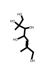 C/C(=C\C(O)C(O)C(C)(O)CO)CO